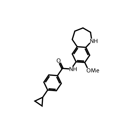 COc1cc2c(cc1NC(=O)c1ccc(C3CC3)cc1)CCCCN2